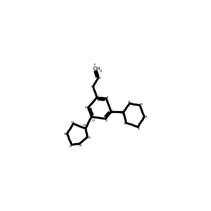 C=CCc1cc(C2CCCCC2)[c]c(C2CCCCC2)c1